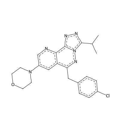 CC(C)c1nnc2c3ncc(N4CCOCC4)cc3c(Cc3ccc(Cl)cc3)nn12